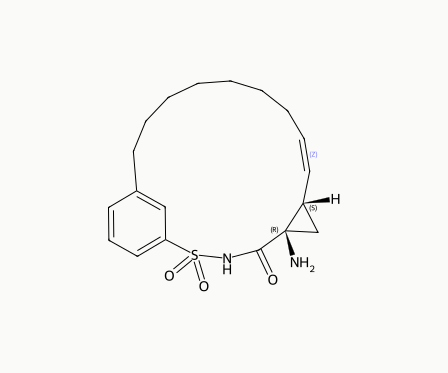 N[C@]12C[C@H]1/C=C\CCCCCCCc1cccc(c1)S(=O)(=O)NC2=O